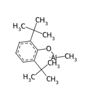 [CH3][Al][O]c1c(C(C)(C)C)cccc1C(C)(C)C